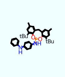 Cc1cc2c(c(C(C)(C)C)c1)OP(Nc1ccc(Nc3ccccc3)cc1)Oc1c(cc(C)cc1C(C)(C)C)C2